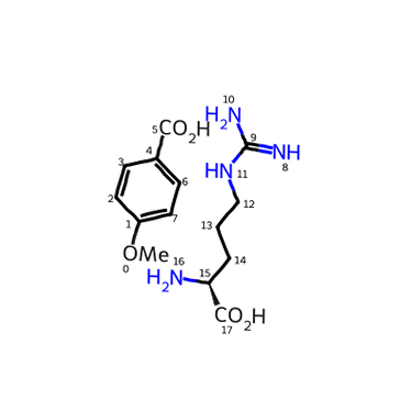 COc1ccc(C(=O)O)cc1.N=C(N)NCCC[C@H](N)C(=O)O